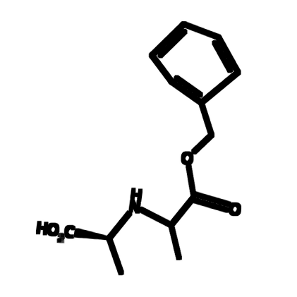 CC(N[C@@H](C)C(=O)O)C(=O)OCc1ccccc1